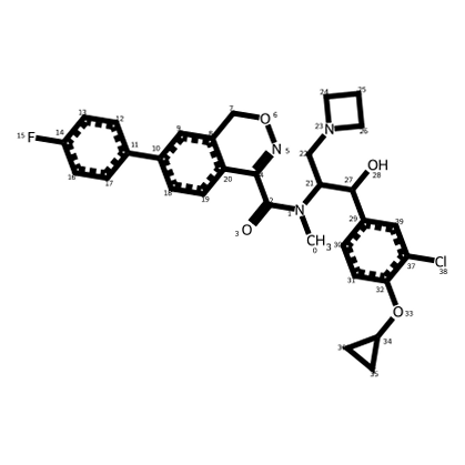 CN(C(=O)C1=NOCc2cc(-c3ccc(F)cc3)ccc21)C(CN1CCC1)C(O)c1ccc(OC2CC2)c(Cl)c1